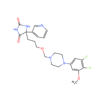 COc1cc(N2CCN(COCCCC3(c4cccnc4)NC(=O)NC3=O)CC2)cc(F)c1F